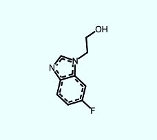 OCCn1cnc2ccc(F)cc21